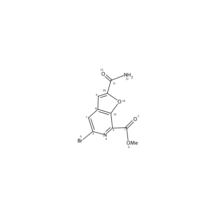 COC(=O)c1nc(Br)cc2cc(C(N)=O)oc12